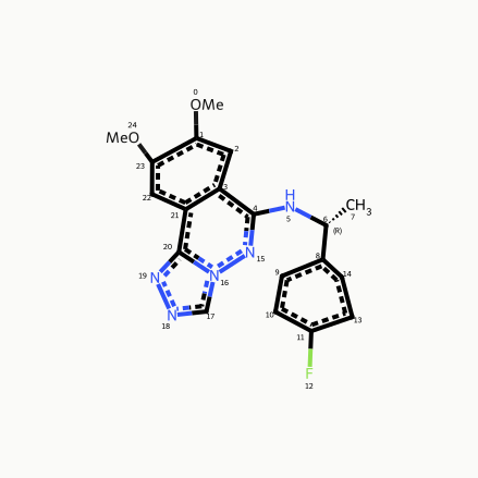 COc1cc2c(N[C@H](C)c3ccc(F)cc3)nn3cnnc3c2cc1OC